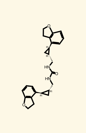 O=C(NC[C@@H]1C[C@H]1c1cccc2c1CCO2)NC[C@@H]1C[C@H]1c1cccc2c1CCO2